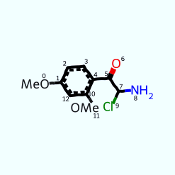 COc1ccc(C(=O)C(N)Cl)c(OC)c1